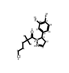 CC(C)(CCCCl)C(=O)N1N=CCC1c1ccc(F)c(F)c1